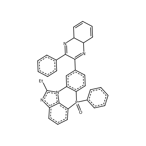 CCc1nc2cccc3c2n1-c1cc(C2=NC4C=CC=CC4N=C2c2ccccc2)ccc1P3(=O)c1ccccc1